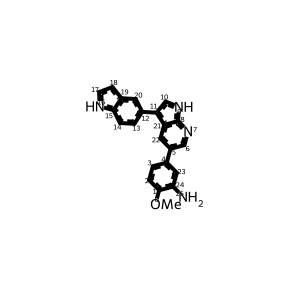 COc1ccc(-c2cnc3[nH]cc(-c4ccc5[nH]ccc5c4)c3c2)cc1N